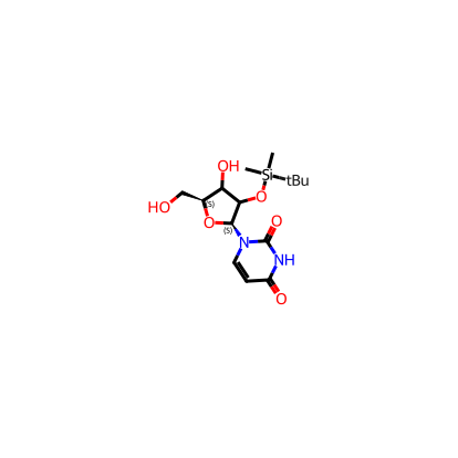 CC(C)(C)[Si](C)(C)OC1C(O)[C@H](CO)O[C@@H]1n1ccc(=O)[nH]c1=O